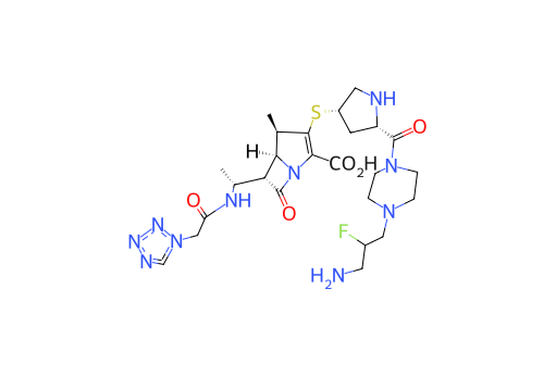 C[C@@H](NC(=O)Cn1cnnn1)[C@H]1C(=O)N2C(C(=O)O)=C(S[C@@H]3CN[C@H](C(=O)N4CCN(CC(F)CN)CC4)C3)[C@H](C)[C@H]12